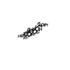 CC(C)ONC(=O)[C@@]1(C)CC[C@]2(C)CC[C@]3(C)C(=CC(=O)[C@@H]4[C@@]5(C)CC[C@H](O)C(C)(C)C5CC[C@]43C)[C@@H]2C1